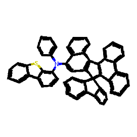 c1ccc(N(c2cc3c(c4ccccc24)-c2c(c4ccccc4c4ccccc24)C32c3ccccc3-c3ccccc32)c2cccc3c2sc2ccccc23)cc1